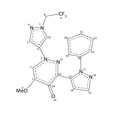 COc1cn(-c2cnn(CC(F)(F)F)c2)nc(-c2ccnn2-c2ccccc2)c1=O